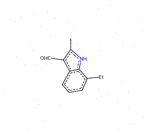 CCc1cccc2c(C=O)c(C)[nH]c12